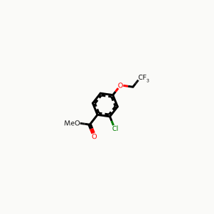 COC(=O)c1ccc(OCC(F)(F)F)cc1Cl